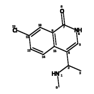 CNC(C)c1c[nH]c(=O)c2cc(Cl)ccc12